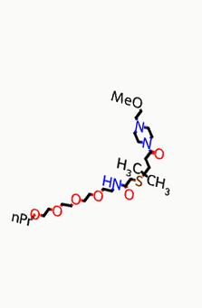 CCCOCCOCCOCCOCCNC(=O)CSC(C)(C)CCC(=O)N1CCN(CCOC)CC1